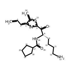 C=C/C=c1/nc(C(=O)[C@H](CCCCN)NC(=O)C2CCCC2)sc1=C